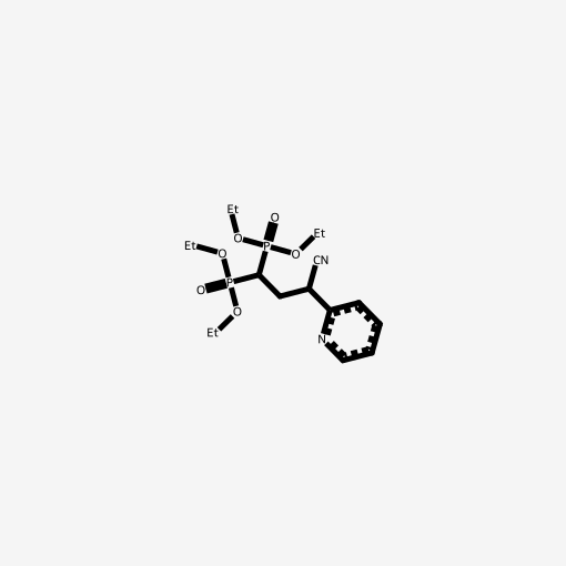 CCOP(=O)(OCC)C(CC(C#N)c1ccccn1)P(=O)(OCC)OCC